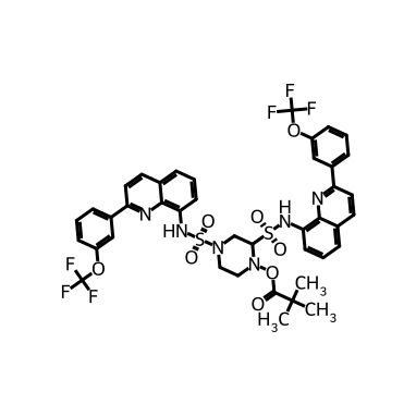 CC(C)(C)C(=O)ON1CCN(S(=O)(=O)Nc2cccc3ccc(-c4cccc(OC(F)(F)F)c4)nc23)CC1S(=O)(=O)Nc1cccc2ccc(-c3cccc(OC(F)(F)F)c3)nc12